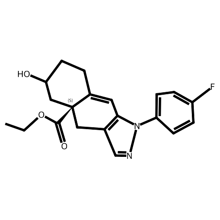 CCOC(=O)[C@]12Cc3cnn(-c4ccc(F)cc4)c3C=C1CCC(O)C2